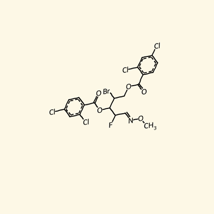 CON=CC(F)C(OC(=O)c1ccc(Cl)cc1Cl)C(Br)COC(=O)c1ccc(Cl)cc1Cl